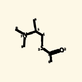 CC(=O)SCC(C)N(C)C